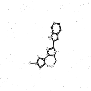 CCOC(=O)Cc1nc(-c2cc3ccccc3[nH]2)oc1-c1ccc(Cl)s1